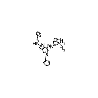 CC(C)C[C@H](CO)N=NC1=CN(SCc2ccccc2)Cc2sc(NCCc3cccs3)nc21